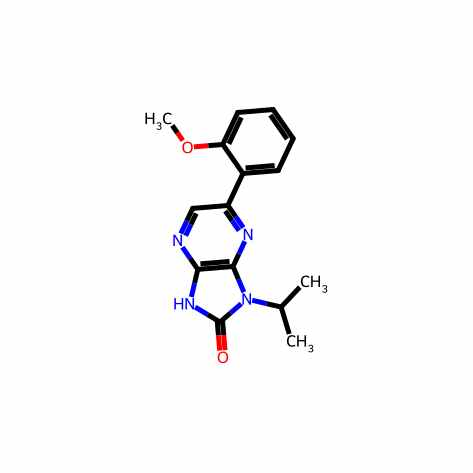 COc1ccccc1-c1cnc2[nH]c(=O)n(C(C)C)c2n1